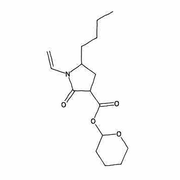 C=CN1C(=O)C(C(=O)OC2CCCCO2)CC1CCCC